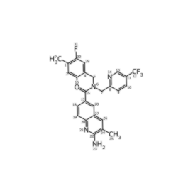 Cc1ccc(CN(Cc2ccc(C(F)(F)F)cn2)C(=O)c2ccc3nc(N)c(C)cc3c2)cc1F